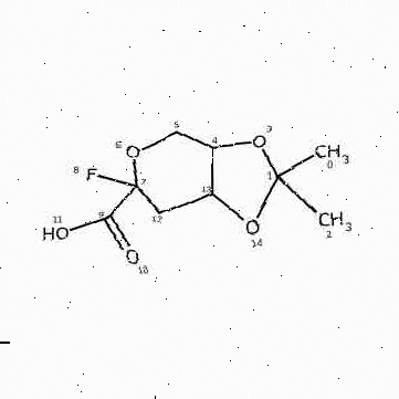 CC1(C)OC2COC(F)(C(=O)O)CC2O1